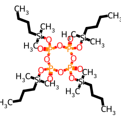 CCCC[Si](C)(C)OP1(=O)OP(=O)(O[Si](C)(C)CCCC)OP(=O)(O[Si](C)(C)CCCC)OP(=O)(O[Si](C)(C)CCCC)O1